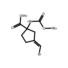 COC(=O)C1(NC(=O)OC(C)(C)C)CCC(=CBr)C1